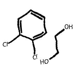 Clc1ccccc1Cl.OCCO